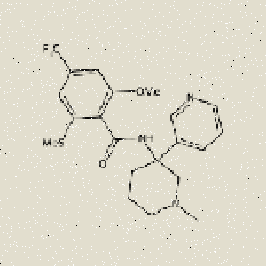 COc1cc(C(F)(F)F)cc(SC)c1C(=O)NC1(c2cccnc2)CCCN(C)C1